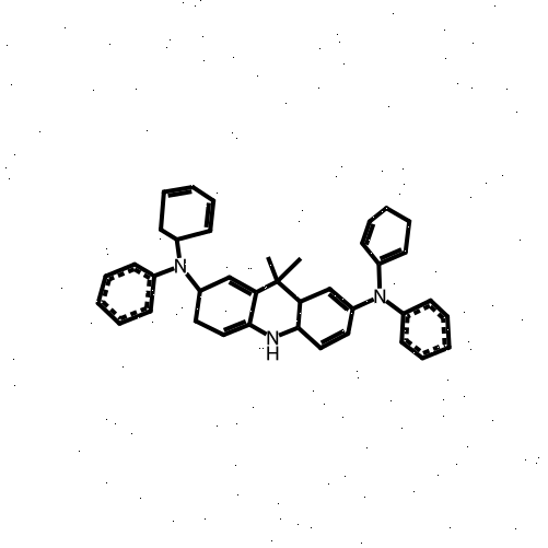 CC1(C)C2=CC(N(c3ccccc3)C3C=CC=CC3)CC=C2NC2C=CC(N(C3=CCCC=C3)c3ccccc3)=CC21